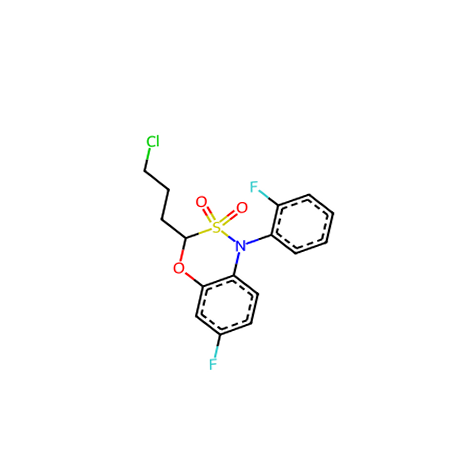 O=S1(=O)C(CCCCl)Oc2cc(F)ccc2N1c1ccccc1F